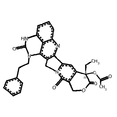 CC[C@@]1(OC(C)=O)C(=O)OCc2c1cc1n(c2=O)Cc2c-1nc1cccc3c1c2N(CCc1ccccc1)C(=O)N3